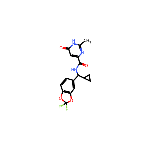 Cc1nc(C(=O)NC(c2ccc3c(c2)OC(F)(F)O3)C2CC2)cc(=O)[nH]1